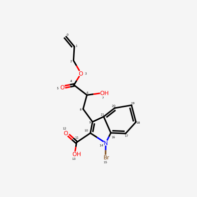 C=CCOC(=O)C(O)Cc1c(C(=O)O)n(Br)c2ccccc12